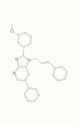 COc1cccc(-c2nc3ncc(-c4ccccc4)cc3n2CC=Cc2ccccc2)c1